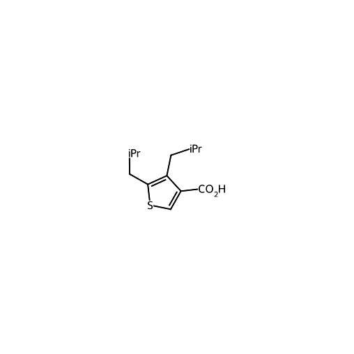 CC(C)Cc1scc(C(=O)O)c1CC(C)C